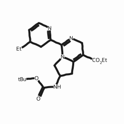 CCOC(=O)C1=C2CC(NC(=O)OC(C)(C)C)CN2C(C2=NC=CC(CC)C2)=NC1